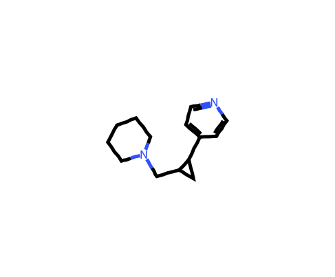 c1cc(C2CC2CN2CCCCC2)ccn1